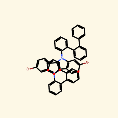 Brc1ccc2c(c1)n(-c1ccccc1-c1ccccc1-c1ccccc1)c1c3ccc(Br)cc3n(-c3ccccc3-c3ccccc3-c3ccccc3)c21